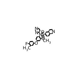 COc1cc(Oc2ccc(F)c(C)c2)ccc1N(c1ccncn1)S(=O)(=O)c1ccc2cnccc2c1